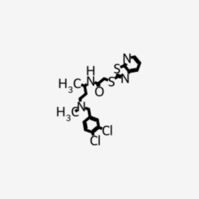 CC(CCN(C)Cc1ccc(Cl)c(Cl)c1)NC(=O)CSc1nc2cccnc2s1